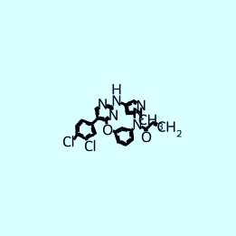 C=CC(=O)Nc1cccc(Oc2nc(Nc3cnn(C)c3)ncc2-c2ccc(Cl)c(Cl)c2)c1